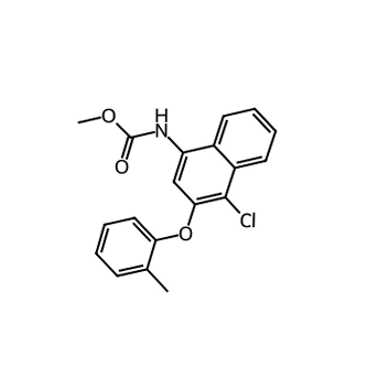 COC(=O)Nc1cc(Oc2ccccc2C)c(Cl)c2ccccc12